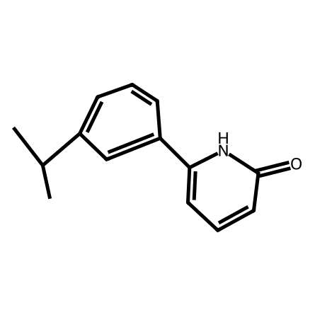 CC(C)c1cccc(-c2cccc(=O)[nH]2)c1